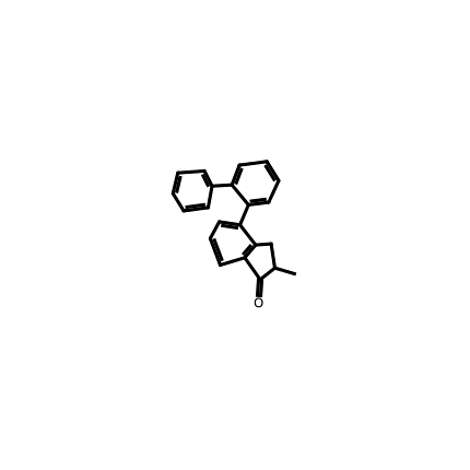 CC1Cc2c(cccc2-c2ccccc2-c2ccccc2)C1=O